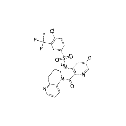 O=C(c1ncc(Cl)cc1NS(=O)(=O)c1ccc(Cl)c(C(F)(F)F)c1)N1CCCc2ncccc21